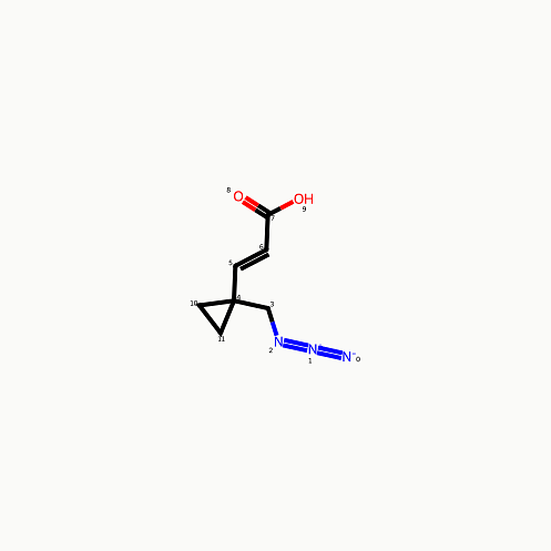 [N-]=[N+]=NCC1(/C=C/C(=O)O)CC1